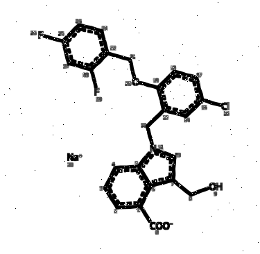 O=C([O-])c1cccc2c1c(CO)cn2Cc1cc(Cl)ccc1OCc1ccc(F)cc1F.[Na+]